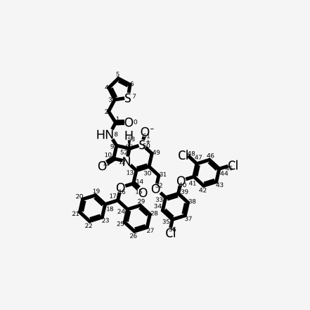 O=C(Cc1cccs1)NC1C(=O)N2C(C(=O)OC(c3ccccc3)c3ccccc3)=C(COc3cc(Cl)ccc3Oc3ccc(Cl)cc3Cl)C[S+]([O-])[C@@H]12